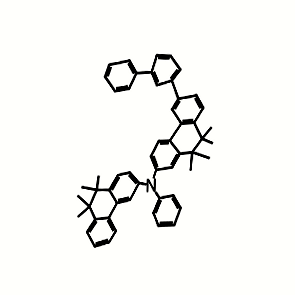 CC1(C)c2ccccc2-c2cc(N(c3ccccc3)c3ccc4c(c3)C(C)(C)C(C)(C)c3ccc(-c5cccc(-c6ccccc6)c5)cc3-4)ccc2C1(C)C